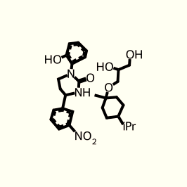 CC(C)C1CCC(C)(OCC(O)CO)CC1.O=C1NC(c2cccc([N+](=O)[O-])c2)CCN1c1ccccc1O